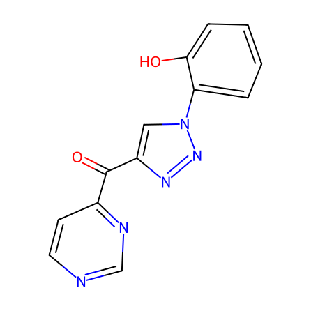 O=C(c1ccncn1)c1cn(-c2ccccc2O)nn1